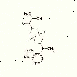 CC(O)C(=O)N1C[C@H]2CC(N(C)c3ncnc4[nH]ccc34)C[C@H]2C1